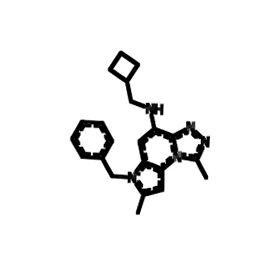 Cc1cc2c(cc(NCC3CCC3)c3nnc(C)n32)n1Cc1ccccc1